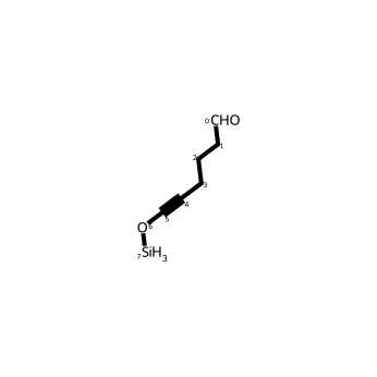 O=CCCCC#CO[SiH3]